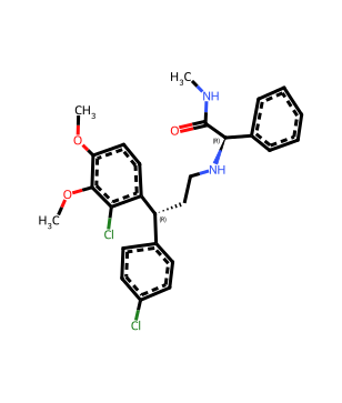 CNC(=O)[C@H](NCC[C@H](c1ccc(Cl)cc1)c1ccc(OC)c(OC)c1Cl)c1ccccc1